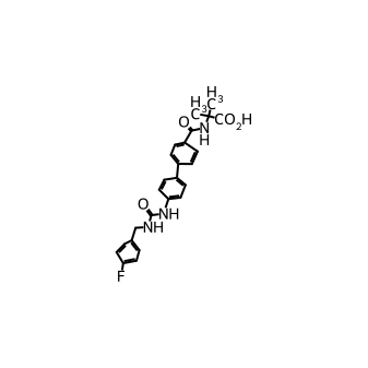 CC(C)(NC(=O)c1ccc(-c2ccc(NC(=O)NCc3ccc(F)cc3)cc2)cc1)C(=O)O